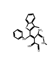 CN/N=C(N)\C(C(=N)C=O)=C(\Nc1ccccc1)c1sc2ccccc2c1C